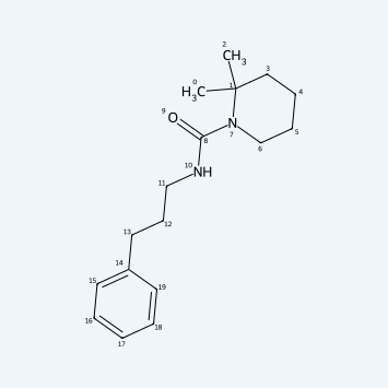 CC1(C)CCCCN1C(=O)NCCCc1ccccc1